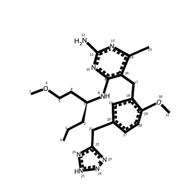 CCC[C@@H](CCOC)Nc1nc(N)nc(C)c1Cc1cc(Cc2nn[nH]n2)ccc1OC